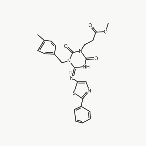 COC(=O)CCn1c(=O)[nH]/c(=N\c2cnc(-c3ccccc3)s2)n(Cc2ccc(C)cc2)c1=O